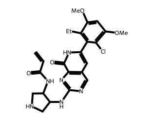 C=CC(=O)NC1CNCC1Nc1ncc2cc(-c3c(Cl)c(OC)cc(OC)c3CC)[nH]c(=O)c2n1